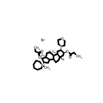 CCC(=O)O[C@H]1C[C@@H]2CCC3C4C[C@H]([N+]5(C)CCCCCC5)[C@H](OC(=O)CC)[C@@]4(C)CCC3[C@@]2(C)C[C@@H]1N1CCOCC1.[Br-]